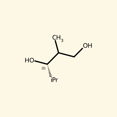 CC(C)[C@H](O)C(C)CO